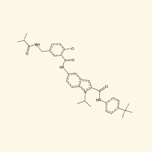 CC(C)C(=O)NCc1ccc(Cl)c(C(=O)Nc2ccc3c(c2)cc(C(=O)Nc2ccc(C(C)(C)C)cc2)n3C(C)C)c1